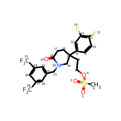 CS(=O)(=O)OCCC1(c2ccc(F)c(F)c2)CCC(=O)N(Cc2cc(C(F)(F)F)cc(C(F)(F)F)c2)C1